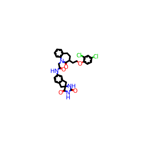 O=C(CN1C(=O)C(CCOc2ccc(Cl)cc2Cl)CCc2ccccc21)Nc1ccc2c(c1)CC1(C2)NC(=O)NC1=O